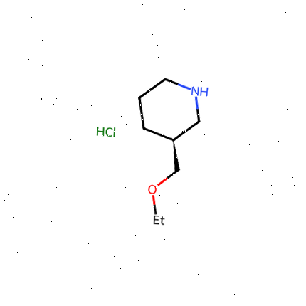 CCOC[C@H]1CCCNC1.Cl